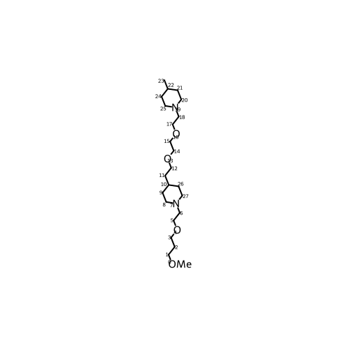 COCCCOCCN1CCC(CCOCCOCCN2CCC(C)CC2)CC1